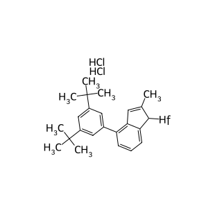 CC1=Cc2c(-c3cc(C(C)(C)C)cc(C(C)(C)C)c3)cccc2[CH]1[Hf].Cl.Cl